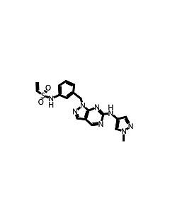 C=CS(=O)(=O)Nc1cccc(Cn2ncc3cnc(Nc4cnn(C)c4)nc32)c1